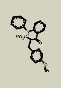 CCCOc1ccc(CC(C(=O)O)C(=O)c2ccccc2Nc2ccccc2)cc1